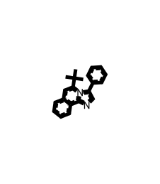 CC(C)(C)c1cc2ccccc2c2ncc(-c3ccccc3)n12